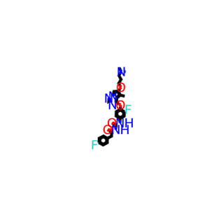 Cc1c(OCCCN(C)C)cn2ncnc(Oc3ccc(NC(=O)NC(=O)Cc4ccc(F)cc4)cc3F)c12